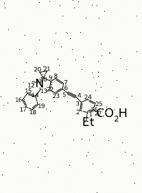 CCc1cc(C#Cc2ccc(C3(N(C)Cc4ccccc4)CC3)cc2)ccc1C(=O)O